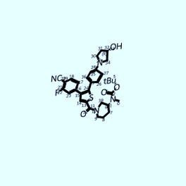 CN(C(=O)OC(C)(C)C)[C@@H]1CCCN(C(=O)c2cc(-c3ccc(C#N)c(F)c3)c(-c3ccc(N4CC[C@@H](O)C4)cc3)s2)C1